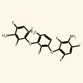 Nc1c(F)cc(F)c(Oc2ccc(C(F)(F)F)c(Oc3c(F)cc(F)c(N)c3F)c2F)c1F